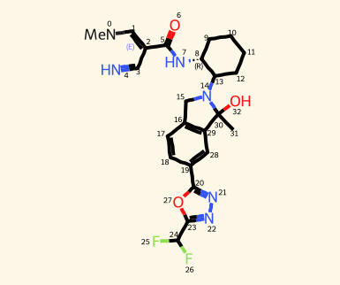 CN/C=C(\C=N)C(=O)N[C@@H]1CCCCC1N1Cc2ccc(-c3nnc(C(F)F)o3)cc2C1(C)O